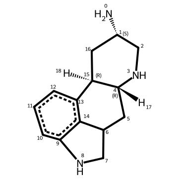 N[C@@H]1CN[C@@H]2CC3CNc4cccc(c43)[C@H]2C1